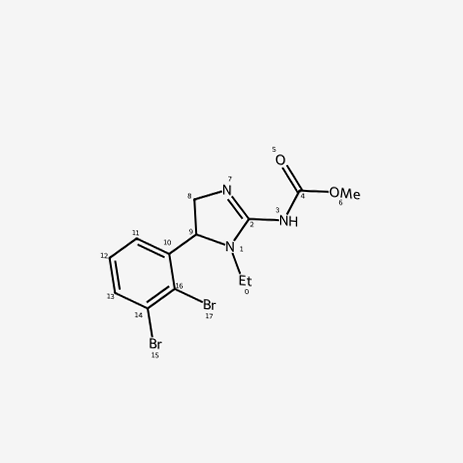 CCN1C(NC(=O)OC)=NCC1c1cccc(Br)c1Br